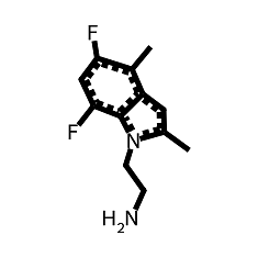 Cc1c(F)cc(F)c2c1cc(C)n2CCN